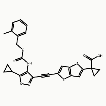 Cc1ccccc1COC(=O)Nc1c(C#Cc2cc3sc(C4(C(=O)O)CC4)cc3s2)nsc1C1CC1